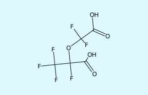 O=C(O)C(F)(F)OC(F)(C(=O)O)C(F)(F)F